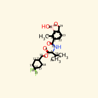 Cc1c(C(=O)N[C@H](C(=O)OCC2CCC(F)(F)CC2)C(C)C)ccc2c1B(O)OC2